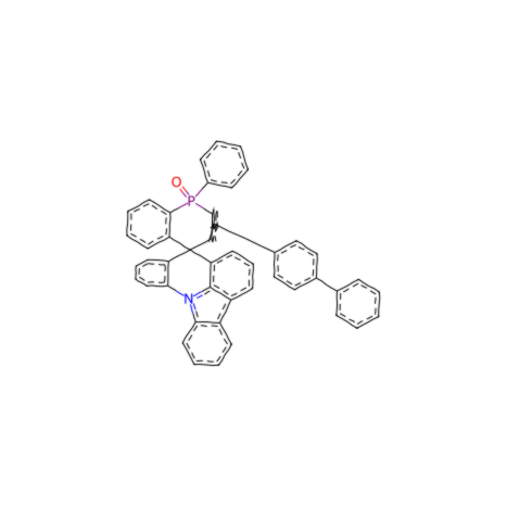 O=P1(c2ccccc2)c2ccccc2C2(c3ccccc3-n3c4ccccc4c4cccc2c43)c2cc(-c3ccc(-c4ccccc4)cc3)ccc21